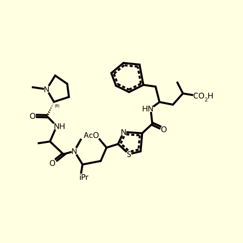 CC(=O)OC(CC(C(C)C)N(C)C(=O)C(C)NC(=O)[C@H]1CCCN1C)c1nc(C(=O)NC(Cc2ccccc2)CC(C)C(=O)O)cs1